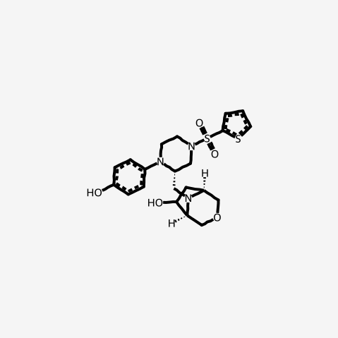 O=S(=O)(c1cccs1)N1CCN(c2ccc(O)cc2)[C@@H](CN2[C@@H]3COC[C@H]2C(O)C3)C1